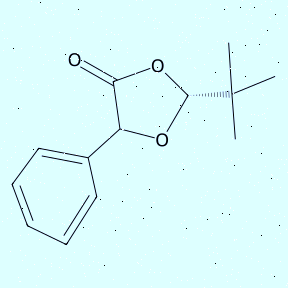 CC(C)(C)[C@H]1OC(=O)C(c2ccccc2)O1